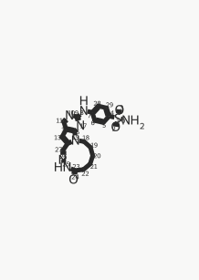 NS(=O)(=O)c1ccc(Nc2ncc3cc4n(c3n2)CCCCCC(=O)N/N=C\4)cc1